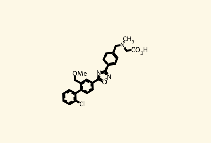 COCc1cc(-c2nc(C3=CC=C(CN(C)CC(=O)O)CC3)no2)ccc1-c1ccccc1Cl